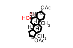 CC(=O)O[C@H]1CC[C@]2(C)[C@H]3CC[C@]4(C)[C@@H](OC(C)=O)CC[C@H]4[C@@H]3C[C@@](C)(O)[C@@]2(Br)C1